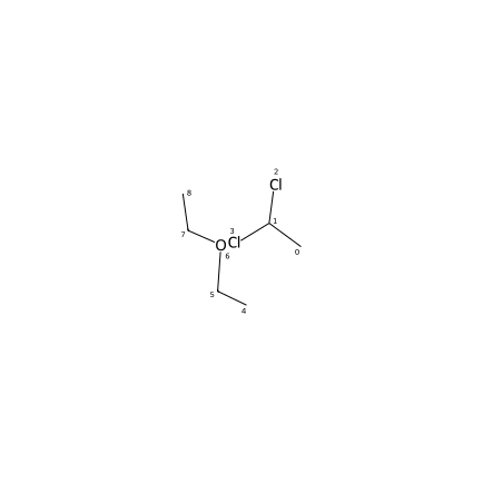 CC(Cl)Cl.CCOCC